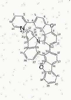 c1ccc(-c2ccc3oc4ccc5c(c4c3c2)-n2c3ccccc3c3cccc(c32)-c2c-5ccc3c2oc2ccccc23)nc1